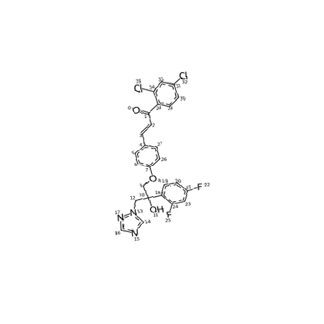 O=C(/C=C/c1ccc(OCC(O)(Cn2cncn2)c2ccc(F)cc2F)cc1)c1ccc(Cl)cc1Cl